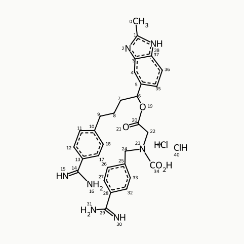 Cc1nc2cc(C(CCCc3ccc(C(=N)N)cc3)OC(=O)CN(Cc3ccc(C(=N)N)cc3)C(=O)O)ccc2[nH]1.Cl.Cl